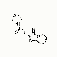 O=C(CCc1nc2ccccc2[nH]1)N1CCSCC1